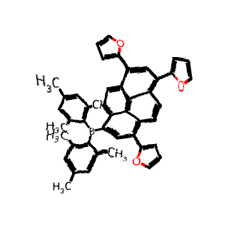 Cc1cc(C)c(B(c2c(C)cc(C)cc2C)c2cc(-c3ccco3)c3ccc4c(-c5ccco5)cc(-c5ccco5)c5ccc2c3c54)c(C)c1